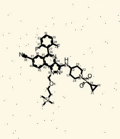 C[Si](C)(C)CCOCn1nc(NC2CCN(S(=O)(=O)C3CC3)CC2)c2nc(-c3c(F)cccc3F)c3cc(C#N)ccc3c21